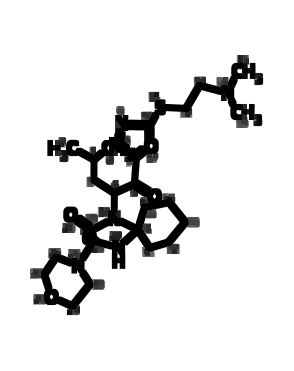 CC(C)CC(C(=O)c1nnc(SCCN(C)C)o1)N(C=O)C1(NC(=O)N2CCOCC2)CCCCC1